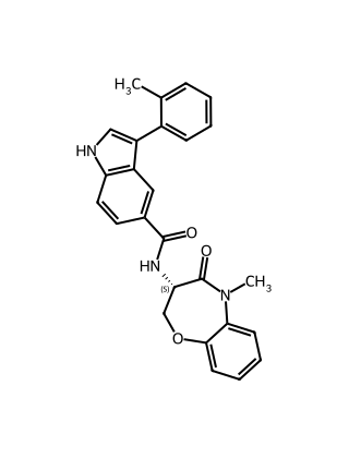 Cc1ccccc1-c1c[nH]c2ccc(C(=O)N[C@H]3COc4ccccc4N(C)C3=O)cc12